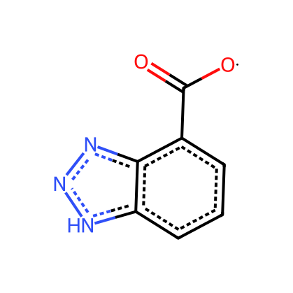 [O]C(=O)c1cccc2[nH]nnc12